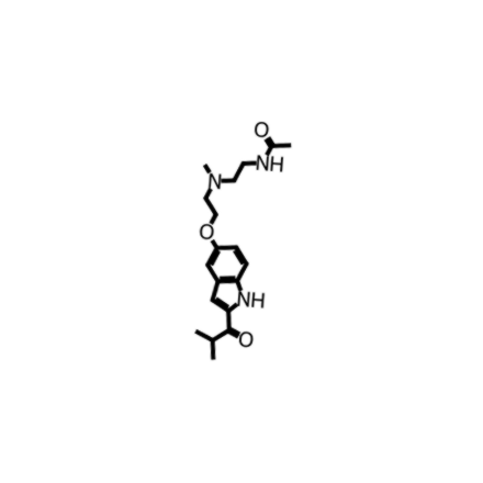 CC(=O)NCCN(C)CCOc1ccc2[nH]c(C(=O)C(C)C)cc2c1